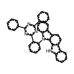 c1ccc(-c2nc(-c3ccccc3)nc(-c3ccccc3-n3c4ccccc4c4ccc5c6ccccc6[nH]c5c43)n2)cc1